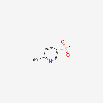 CCCc1ccc(S(C)(=O)=O)cn1